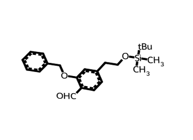 CC(C)(C)[Si](C)(C)OCCc1ccc(C=O)c(OCc2ccccc2)c1